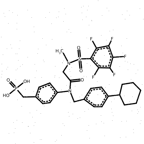 CN(CC(=O)N(Cc1ccc(C2CCCCC2)cc1)c1ccc(CP(=O)(O)O)cc1)S(=O)(=O)c1c(F)c(F)c(F)c(F)c1F